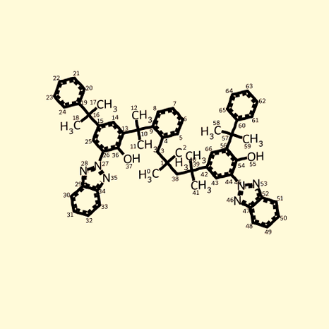 CC(C)(Cc1ccccc1C(C)(C)c1cc(C(C)(C)c2ccccc2)cc(-n2nc3ccccc3n2)c1O)CC(C)(C)c1cc(-n2nc3ccccc3n2)c(O)c(C(C)(C)c2ccccc2)c1